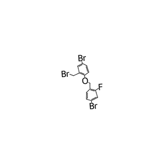 Fc1cc(Br)ccc1COc1ccc(Br)cc1CBr